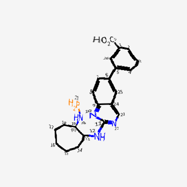 O=C(O)c1cccc(-c2ccc3nc(NC4CCCCC[C@H]4NP)ncc3c2)c1